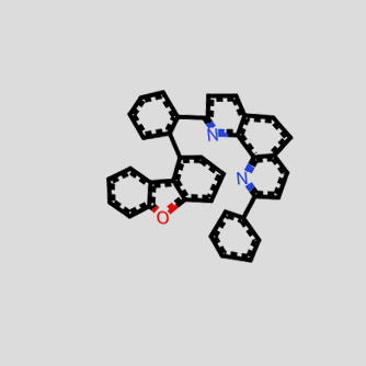 c1ccc(-c2ccc3ccc4ccc(-c5ccccc5-c5cccc6oc7ccccc7c56)nc4c3n2)cc1